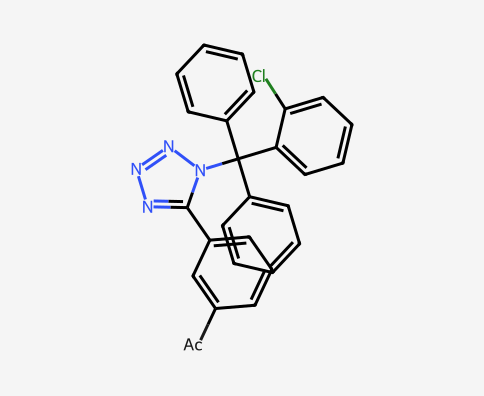 CC(=O)c1cccc(-c2nnnn2C(c2ccccc2)(c2ccccc2)c2ccccc2Cl)c1